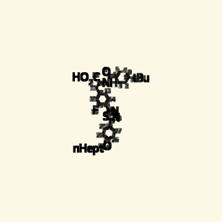 C=C(/C=C\C(=C/C)C(=O)N[C@@H](Cc1ccc(-c2nnc(-c3ccc(OCCCCCCC)cc3)s2)c(F)c1)C(=O)O)C(C)(C)C